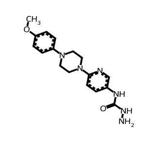 COc1ccc(N2CCN(c3ccc(NC(=O)NN)cn3)CC2)cc1